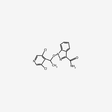 CC(On1nc(C(N)=O)c2ccccc21)c1c(Cl)cncc1Cl